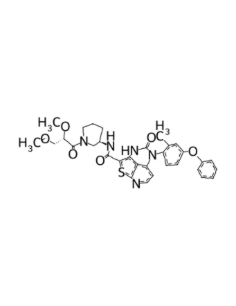 COC[C@H](OC)C(=O)N1CCC[C@@H](NC(=O)c2sc3nccc4c3c2NC(=O)N4c2ccc(Oc3ccccc3)cc2C)C1